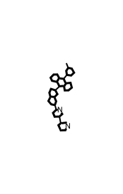 Cc1cccc(-c2c3ccccc3c(-c3ccc4ccc(-c5ccc(-c6cccnc6)cn5)cc4c3)c3ccccc23)c1